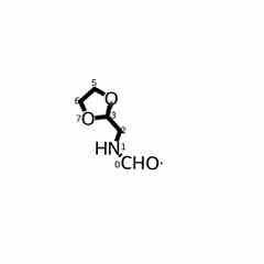 O=[C]NCC1OCCO1